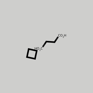 C1CCC1.O=C(O)CCC(=O)O